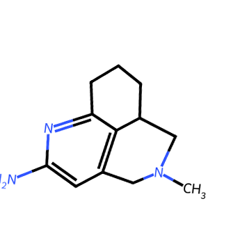 CN1Cc2cc(N)nc3c2C(CCC3)C1